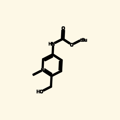 C[n+]1cc(NC(=O)OC(C)(C)C)ccc1CO